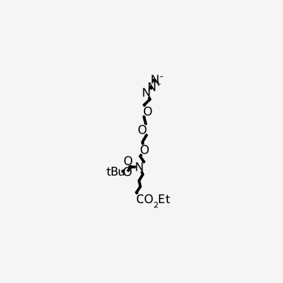 CCOC(=O)CCCCN(CCOCCOCCOCCN=[N+]=[N-])C(=O)OC(C)(C)C